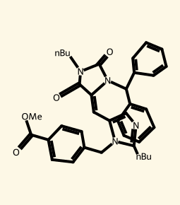 CCCCc1ncc(/C=C2/C(=O)N(CCCC)C(=O)N2C(c2ccccc2)c2ccccc2)n1Cc1ccc(C(=O)OC)cc1